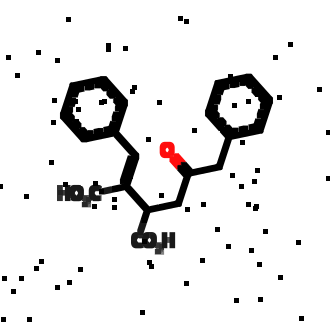 O=C(Cc1ccccc1)CC(C(=O)O)C(=Cc1ccccc1)C(=O)O